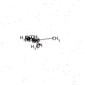 C#C[C@@]1(c2ccc3c(C)ncnn23)O[C@H](COP(=O)(O)OC[C@@H](COCCCCCCCCCCCCCCCCCC)OCc2ccc(OC)c(C#N)c2)[C@@H](O)[C@H]1O